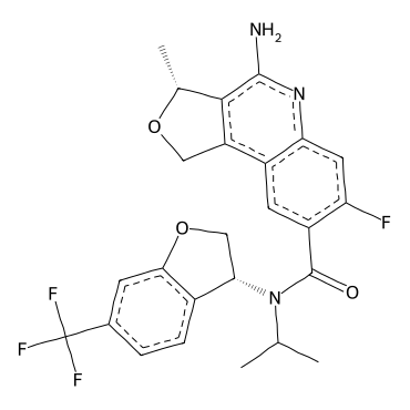 CC(C)N(C(=O)c1cc2c3c(c(N)nc2cc1F)[C@@H](C)OC3)[C@H]1COc2cc(C(F)(F)F)ccc21